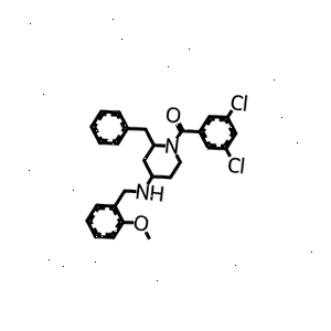 COc1ccccc1CNC1CCN(C(=O)c2cc(Cl)cc(Cl)c2)C(Cc2ccccc2)C1